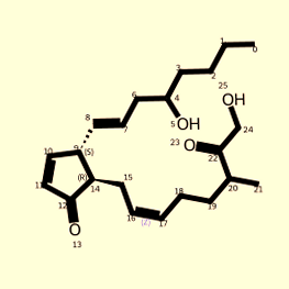 CCCCC(O)CC=C[C@H]1C=CC(=O)[C@@H]1C/C=C\CCC(C)C(=O)CO